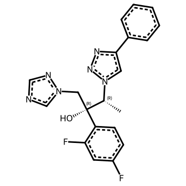 C[C@@H](n1cc(-c2ccccc2)nn1)[C@](O)(Cn1cncn1)c1ccc(F)cc1F